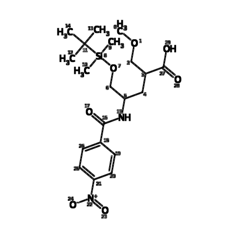 COCC(CC(CO[Si](C)(C)C(C)(C)C)NC(=O)c1ccc([N+](=O)[O-])cc1)C(=O)O